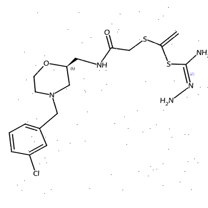 C=C(SCC(=O)NC[C@H]1CN(Cc2cccc(Cl)c2)CCO1)S/C(N)=N\N